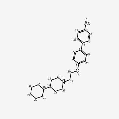 CC(=O)c1ccc(-c2ccc(OCCN3CCC(C4CCCCC4)CC3)cc2)cc1